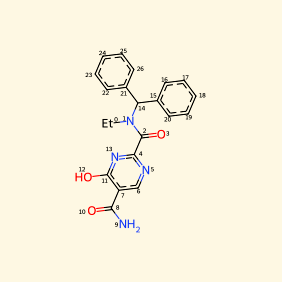 CCN(C(=O)c1ncc(C(N)=O)c(O)n1)C(c1ccccc1)c1ccccc1